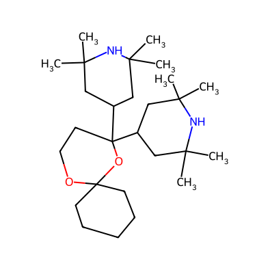 CC1(C)CC(C2(C3CC(C)(C)NC(C)(C)C3)CCOC3(CCCCC3)O2)CC(C)(C)N1